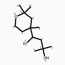 CCC(CC(C)(C)O)C1(C)CCOC(C)(C)C1